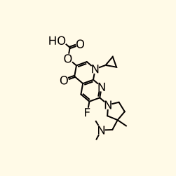 CN(C)CC1(C)CCN(c2nc3c(cc2F)c(=O)c(OC(=O)O)cn3C2CC2)C1